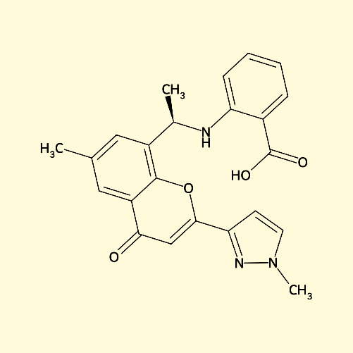 Cc1cc([C@@H](C)Nc2ccccc2C(=O)O)c2oc(-c3ccn(C)n3)cc(=O)c2c1